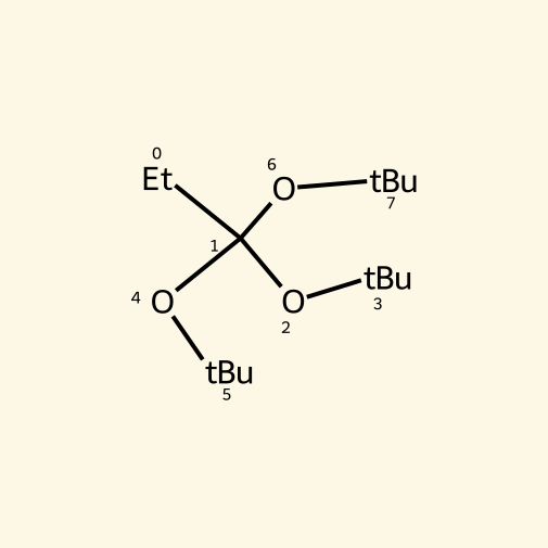 CCC(OC(C)(C)C)(OC(C)(C)C)OC(C)(C)C